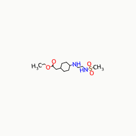 CCOC(=O)CC1CCC(NCCNS(C)(=O)=O)CC1